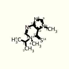 CC(C)[N+]1(C)C=Nc2ncn(C)c2C1=S